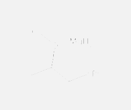 CCCCC(C)OCl.[MgH2]